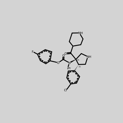 CC(C)N(C(=O)Oc1ccc(F)cc1)[C@@]1(C(=O)C2CCNCC2)CNC[C@@H]1c1ccc(Cl)cc1